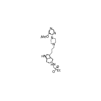 CCS(=O)(=O)CNc1ccc2[nH]cc(CCCN3CCN(c4ncncc4OC)CC3)c2c1